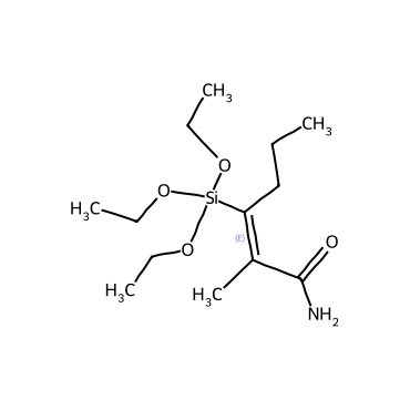 CCC/C(=C(/C)C(N)=O)[Si](OCC)(OCC)OCC